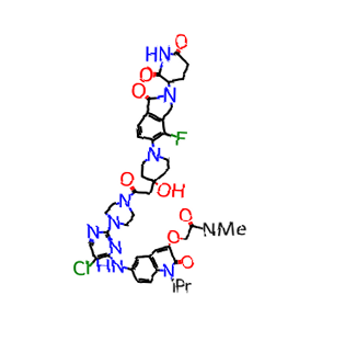 CNC(=O)COc1cc2cc(Nc3nc(N4CCN(C(=O)CC5(O)CCN(c6ccc7c(c6F)CN(C6CCC(=O)NC6=O)C7=O)CC5)CC4)ncc3Cl)ccc2n(C(C)C)c1=O